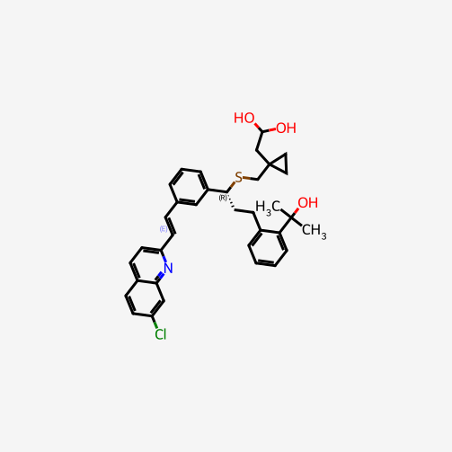 CC(C)(O)c1ccccc1CC[C@@H](SCC1(CC(O)O)CC1)c1cccc(/C=C/c2ccc3ccc(Cl)cc3n2)c1